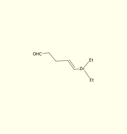 C[CH2][Zn]([CH]=CCCC=O)[CH2]C